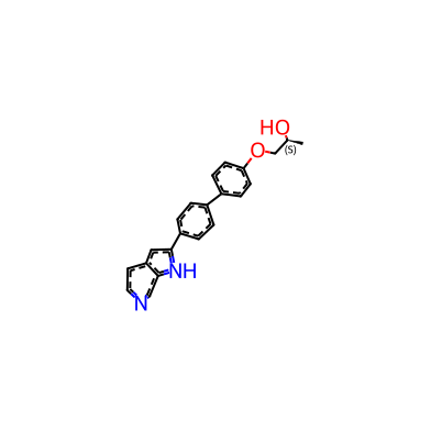 C[C@H](O)COc1ccc(-c2ccc(-c3cc4ccncc4[nH]3)cc2)cc1